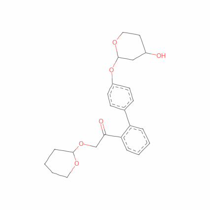 O=C(COC1CCCCO1)c1ccccc1-c1ccc(OC2CC(O)CCO2)cc1